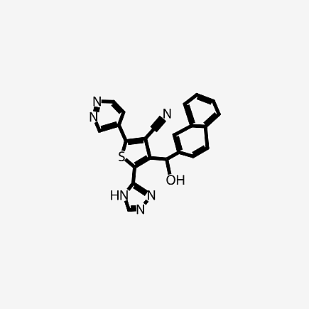 N#Cc1c(-c2ccnnc2)sc(-c2nnc[nH]2)c1C(O)c1ccc2ccccc2c1